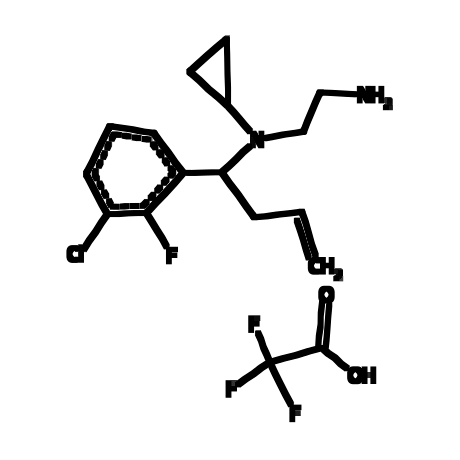 C=CCC(c1cccc(Cl)c1F)N(CCN)C1CC1.O=C(O)C(F)(F)F